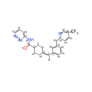 CC(=C1CCC(C(=O)Nc2cccnn2)CC1)c1cccc(Cc2ccc(C(F)(F)F)cn2)c1